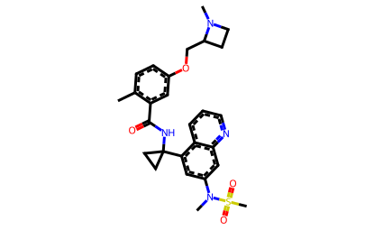 Cc1ccc(OCC2CCN2C)cc1C(=O)NC1(c2cc(N(C)S(C)(=O)=O)cc3ncccc23)CC1